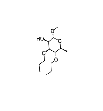 CCCO[C@@H]1[C@@H](OCCC)[C@@H](O)[C@H](OC)O[C@H]1C